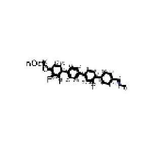 C/C=C/C1CCC(c2ccc(-c3ccc(-c4ccc(OCCCCCCCC)c(F)c4F)cc3)cc2F)CC1